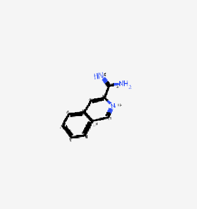 N=C(N)c1cc2ccccc2cn1